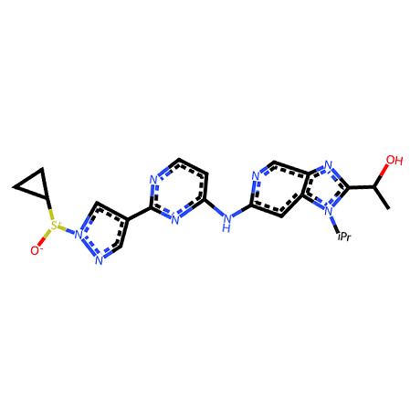 CC(O)c1nc2cnc(Nc3ccnc(-c4cnn([S+]([O-])C5CC5)c4)n3)cc2n1C(C)C